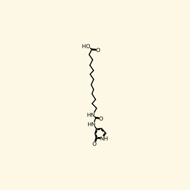 O=C(O)CCCCCCCCCCCCNC(=O)Nc1cc[nH]c(=O)c1